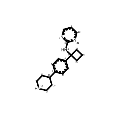 c1cnc(NC2(c3ccc(C4CCNCC4)cc3)CCC2)nc1